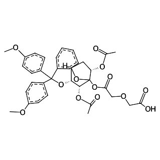 COc1ccc(C(O[C@H]2[C@@H](OC(C)=O)C3(OC(=O)COCC(=O)O)O[C@@H]2C[C@@H]3OC(C)=O)(c2ccccc2)c2ccc(OC)cc2)cc1